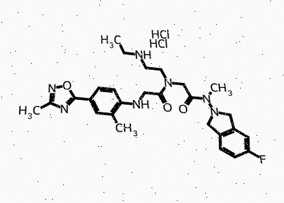 CCNCCN(CC(=O)N(C)N1Cc2ccc(F)cc2C1)C(=O)CNc1ccc(-c2nc(C)no2)cc1C.Cl.Cl